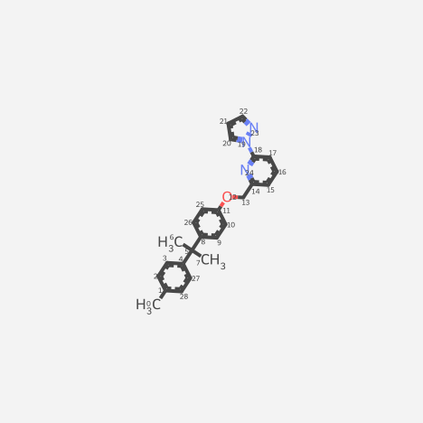 Cc1ccc(C(C)(C)c2ccc(OCc3cccc(-n4cccn4)n3)cc2)cc1